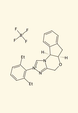 CCc1cccc(CC)c1-[n+]1cn2c(n1)CO[C@@H]1Cc3ccccc3[C@@H]12.F[B-](F)(F)F